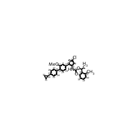 COc1cc(-c2sc(Cl)cc2NC(=O)OC(C)c2ccccc2C)ccc1-c1ccc(C2CC2)cc1